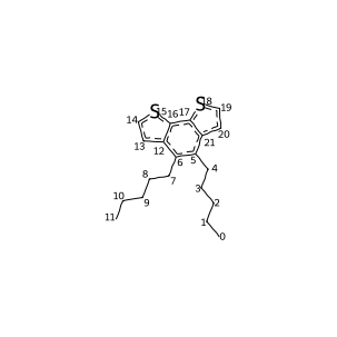 CCCCCc1c(CCCCC)c2ccsc2c2sccc12